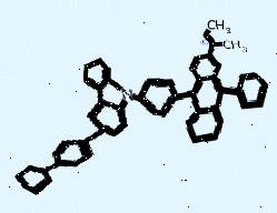 C/C=C(\C)c1ccc2c(-c3ccc(-n4c5ccccc5c5cc(-c6ccc(-c7ccccc7)cc6)ccc54)cc3)c3ccccc3c(-c3ccccc3)c2c1